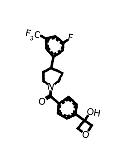 O=C(c1ccc(C2(O)COC2)cc1)N1CCC(c2cc(F)cc(C(F)(F)F)c2)CC1